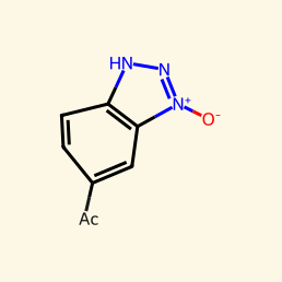 CC(=O)c1ccc2[nH]n[n+]([O-])c2c1